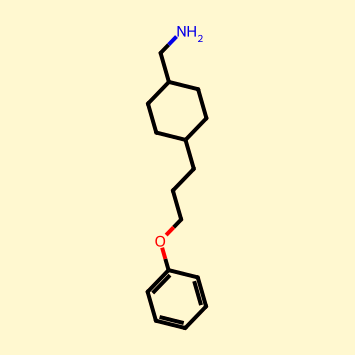 NCC1CCC(CCCOc2ccccc2)CC1